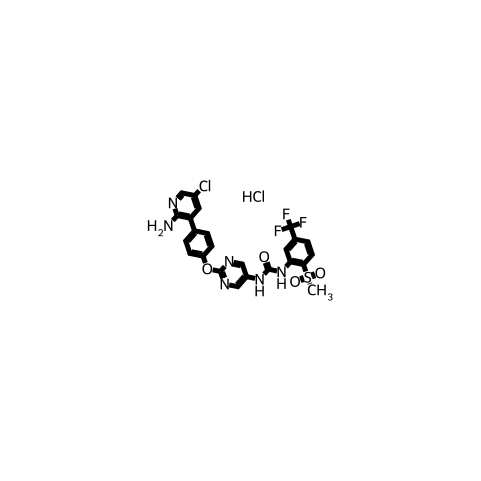 CS(=O)(=O)c1ccc(C(F)(F)F)cc1NC(=O)Nc1cnc(Oc2ccc(-c3cc(Cl)cnc3N)cc2)nc1.Cl